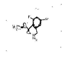 COC(=O)c1c(F)cc(Br)cc1CN